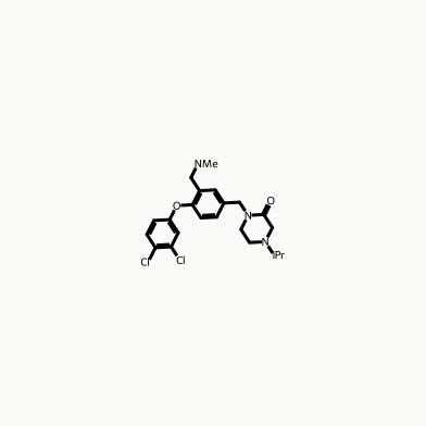 CNCc1cc(CN2CCN(C(C)C)CC2=O)ccc1Oc1ccc(Cl)c(Cl)c1